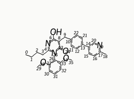 CCCCc1nc(O)c(Cc2ccc(-c3ccc(C)nc3)cc2)c(=O)n1-c1c(OC)cccc1OC